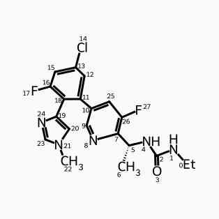 CCNC(=O)N[C@H](C)c1ncc(-c2cc(Cl)cc(F)c2-c2cn(C)cn2)cc1F